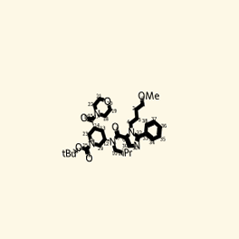 COCCCCn1c(C(=O)N(CC(C)C)[C@H]2C[C@@H](C(=O)N3CCOCC3)CN(C(=O)OC(C)(C)C)C2)cnc1-c1ccccc1